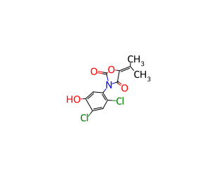 CC(C)=C1OC(=O)N(c2cc(O)c(Cl)cc2Cl)C1=O